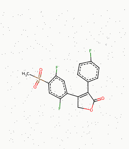 CS(=O)(=O)c1cc(F)c(C2=C(c3ccc(F)cc3)C(=O)OC2)cc1F